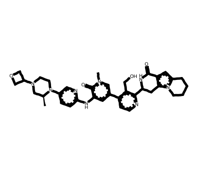 C[C@H]1CN(C2COC2)CCN1c1ccc(Nc2cc(-c3ccnc(C4Cc5c(cc6n5CCCC6)C(=O)N4)c3CO)cn(C)c2=O)nc1